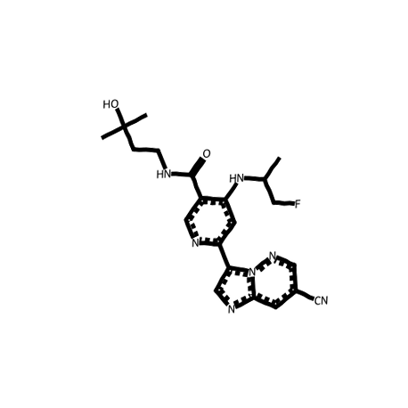 CC(CF)Nc1cc(-c2cnc3cc(C#N)cnn23)ncc1C(=O)NCCC(C)(C)O